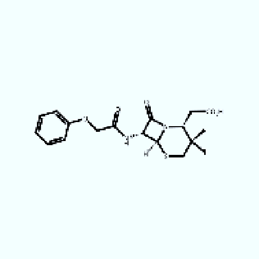 C[C@@]1(I)CS[C@H]2[C@H](NC(=O)COc3ccccc3)C(=O)N2[C@H]1CC(=O)O